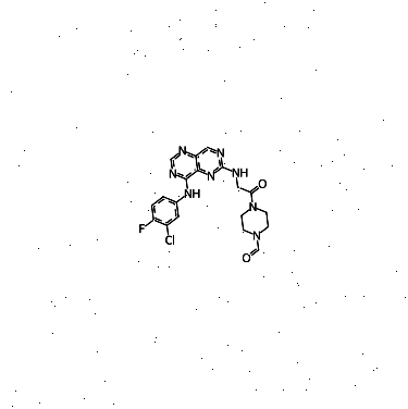 O=CN1CCN(C(=O)CNc2ncc3ncnc(Nc4ccc(F)c(Cl)c4)c3n2)CC1